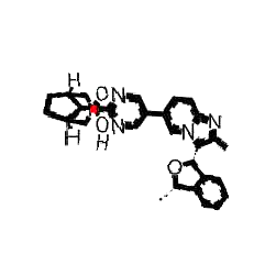 Cc1nc2ccc(-c3cnc(N4C[C@H]5CC[C@@H](C4)C5C(=O)O)nc3)cn2c1[C@H]1O[C@@H](C)c2ccccc21